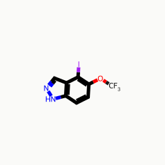 FC(F)(F)Oc1ccc2[nH]ncc2c1I